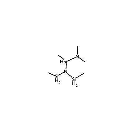 C[SiH2]N([SiH2]C)[SiH](C)N(C)C